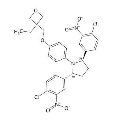 CCC1(COc2ccc(N3[C@@H](c4ccc(Cl)c([N+](=O)[O-])c4)CC[C@@H]3c3ccc(Cl)c([N+](=O)[O-])c3)cc2)COC1